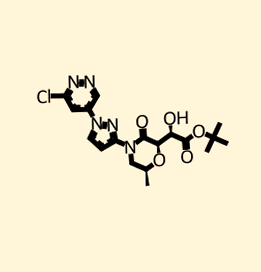 C[C@H]1CN(c2ccn(-c3cnnc(Cl)c3)n2)C(=O)[C@@H]([C@@H](O)C(=O)OC(C)(C)C)O1